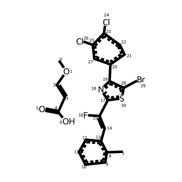 COC=CC(=O)O.Cc1ccccc1C=C(F)c1nc(-c2ccc(Cl)c(Cl)c2)c(Br)s1